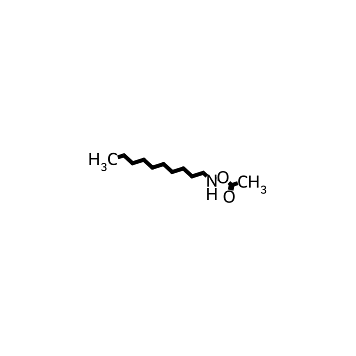 CCCCCCCCCCNOC(C)=O